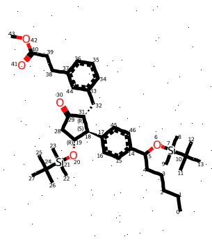 CCCCCC(O[Si](C)(C)C(C)(C)C)c1ccc([C@H]2[C@H](O[Si](C)(C)C(C)(C)C)CC(=O)[C@@H]2Cc2cccc(CCC(=O)OC)c2)cc1